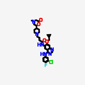 CN1CC(=O)OC(C2CCN(CC=CC(=O)Nc3cc4c(Nc5ccc(F)c(Cl)c5)ncnc4cc3OCC3CC3)CC2)C1